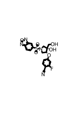 N#Cc1ccc(O[C@H]2CN(S(=O)(=O)c3ccc4nonc4c3)C[C@@]2(O)CO)cc1F